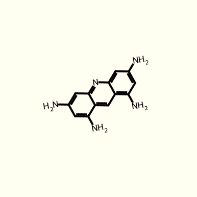 Nc1cc(N)c2cc3c(N)cc(N)cc3nc2c1